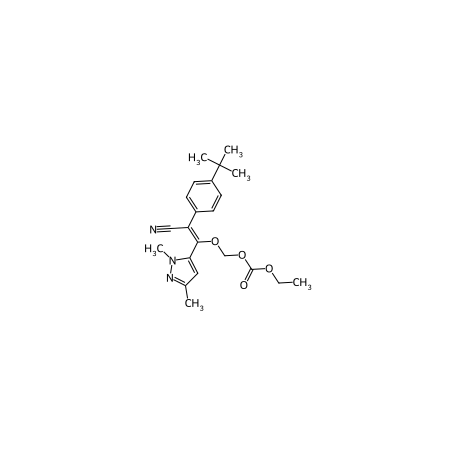 CCOC(=O)OCO/C(=C(/C#N)c1ccc(C(C)(C)C)cc1)c1cc(C)nn1C